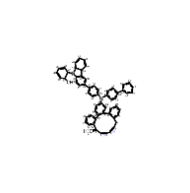 C=C1/C=C\C=C/Cc2ccccc2-c2cc(N(c3ccc(-c4ccccc4)cc3)c3ccc(-c4ccc5c(c4)C4C=CC=CC4N5C4C=CC=CC4C)cc3)ccc2-c2ccccc21